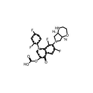 O=C(O)Oc1cn(-c2ccc(F)cc2F)c2c(F)c(N3C[C@@H]4OCCN[C@@H]4C3)c(F)cc2c1=O